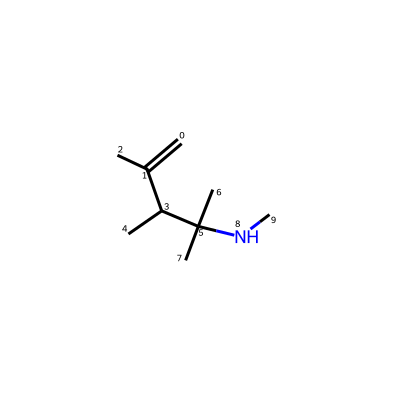 C=C(C)C(C)C(C)(C)NC